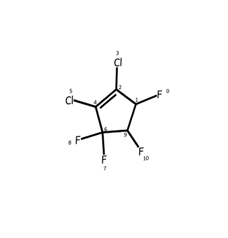 FC1C(Cl)=C(Cl)C(F)(F)C1F